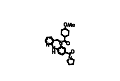 COC1CCC(C(=O)N2Cc3cccnc3Nc3ccc(C(=O)N4CCCC4)cc32)CC1